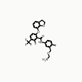 NCOCc1cc(NC(=O)c2c(Oc3cccc4c3OCC4)ccc(C(F)(F)F)c2F)ccc1F